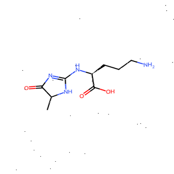 CC1NC(N[C@@H](CCCN)C(=O)O)=NC1=O